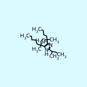 CCCCCC(C)(C)c1[nH]c(C(C)CC)nc1C(C)(C)CCCC